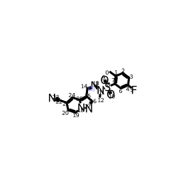 Cc1ccc(F)cc1S(=O)(=O)N(C)/N=C\c1cnn2ccc(C#N)cc12